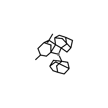 CC1=C2CC(C)CC3(C2)B(C24CC5CC(CC(C5)C2)C4)C24CC5CC(CC(C5)C132)C4